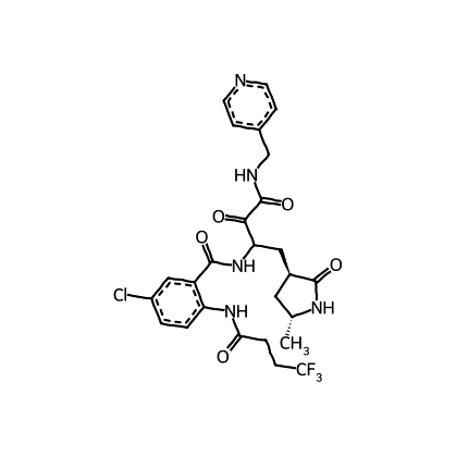 C[C@@H]1C[C@@H](CC(NC(=O)c2cc(Cl)ccc2NC(=O)CCC(F)(F)F)C(=O)C(=O)NCc2ccncc2)C(=O)N1